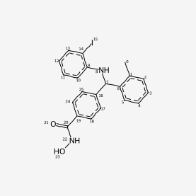 Cc1ccccc1C(Nc1ccccc1I)c1ccc(C(=O)NO)cc1